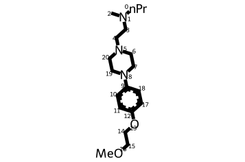 CCCN(C)CCN1CCN(c2ccc(OCCOC)cc2)CC1